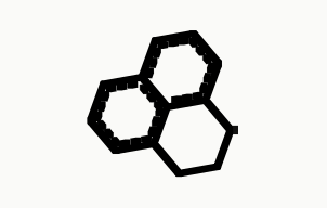 [C]1CCc2cccc3cccc1c23